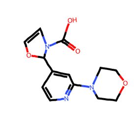 O=C(O)N1C=COC1c1ccnc(N2CCOCC2)c1